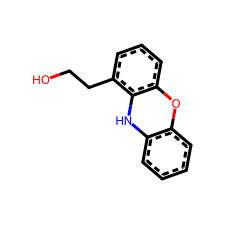 OCCc1cccc2c1Nc1ccccc1O2